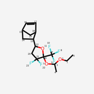 CCOC(C)OC1(C(F)(F)F)OC(C2CC3C=CC2C3)CC1(F)F